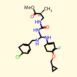 COC(=O)[C@@H](C)CNC(=O)NC(NCC1=CCC(Cl)C=C1)NC1=CC(F)=C(OCC2CC2)CC1